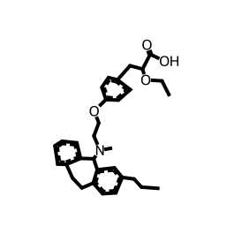 CCCc1ccc2c(c1)C(N(C)CCOc1ccc(CC(OCC)C(=O)O)cc1)c1ccccc1CC2